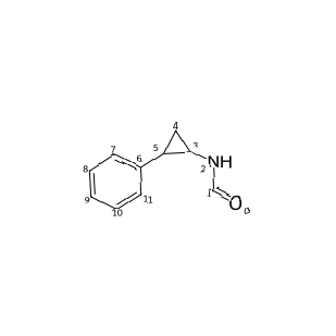 O=CNC1CC1c1ccccc1